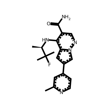 Cc1cc(-c2cc3c(N[C@H](C)C(C)(C)F)c(C(N)=O)cnn3c2)ccn1